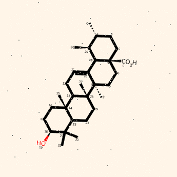 C[C@@H]1CC[C@]2(C(=O)O)CC[C@]3(C)C(=CCC4[C@@]5(C)CC[C@H](O)C(C)(C)C5CC[C@]43C)C2[C@H]1C